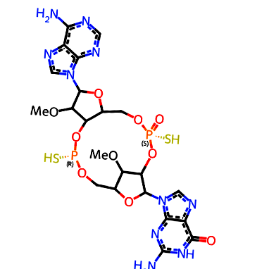 COC1C2CO[P@](S)OC3C(CO[P@](=O)(S)OC1C(n1cnc4c(=O)[nH]c(N)nc41)O2)OC(n1cnc2c(N)ncnc21)C3OC